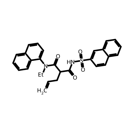 C=CCC(C(=O)NS(=O)(=O)c1ccc2ccccc2c1)C(=O)N(CC)c1cccc2ccccc12